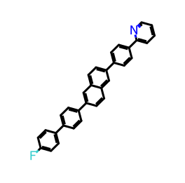 Fc1ccc(-c2ccc(-c3ccc4cc(-c5ccc(-c6ccccn6)cc5)ccc4c3)cc2)cc1